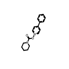 O=C(O[n+]1ccc(-c2ccccc2)cc1)N1CCCCC1